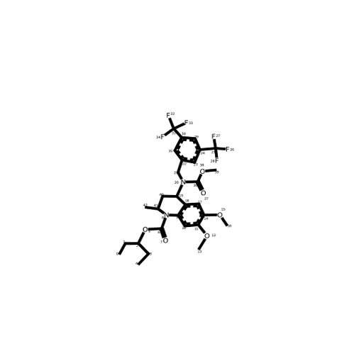 CCC(CC)OC(=O)N1c2cc(OC)c(OC)cc2C(N(Cc2cc(C(F)(F)F)cc(C(F)(F)F)c2)C(=O)OC)CC1C